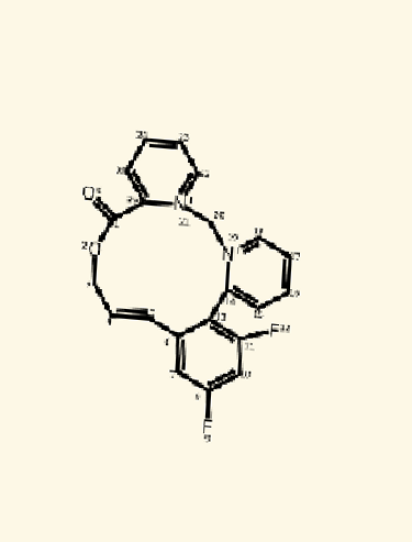 O=C1OC/C=C/c2cc(F)cc(F)c2-c2cccc[n+]2C[n+]2ccccc21